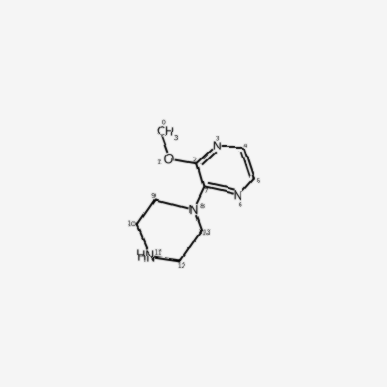 COc1nccnc1N1CCNCC1